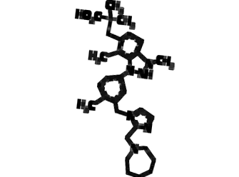 Cc1ccc(N2NN(C)c3ccc(CC(C)(C)C(=O)O)c(C)c32)cc1Cn1ccnc1CN1CCCCCC1